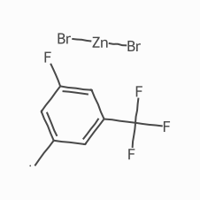 [Br][Zn][Br].[CH2]c1cc(F)cc(C(F)(F)F)c1